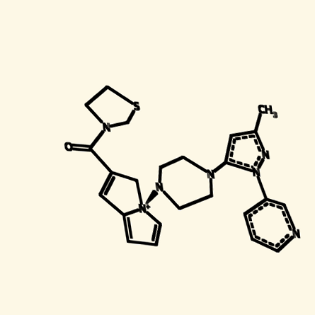 Cc1cc(N2CCN([N@@+]34C=CC=C3C=C(C(=O)N3CCSC3)C4)CC2)n(-c2cccnc2)n1